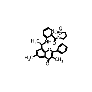 Cc1cc(C(C)Nc2cccnc2C(=O)N2CCCS2(=O)=O)c2oc(-c3ccccc3)c(C)c(=O)c2c1